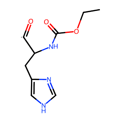 CCOC(=O)NC([C]=O)Cc1c[nH]cn1